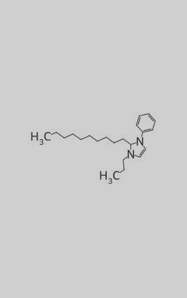 CCCCCCCCCCC1N(CCC)C=CN1c1ccccc1